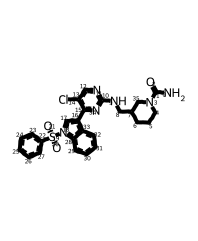 NC(=O)N1CCCC(CNc2ncc(Cl)c(-c3cn(S(=O)(=O)c4ccccc4)c4ccccc34)n2)C1